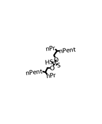 CCCCCC(CCC)COP(=S)(S)OCC(CCC)CCCCC